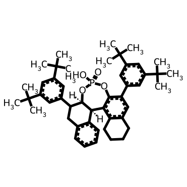 CC(C)(C)c1cc(-c2cc3c(c4c2OP(=O)(O)O[C@@H]2C(c5cc(C(C)(C)C)cc(C(C)(C)C)c5)Cc5ccccc5[C@H]42)CCCC3)cc(C(C)(C)C)c1